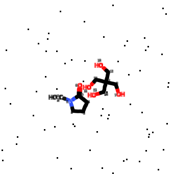 O=C(O)N1CCCC1=O.OCC(CO)(CO)CO